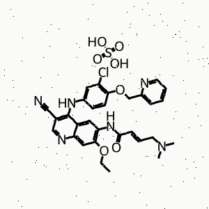 CCOc1cc2ncc(C#N)c(Nc3ccc(OCc4ccccn4)c(Cl)c3)c2cc1NC(=O)/C=C/CN(C)C.O=S(=O)(O)O